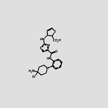 CCC1(N)CCN(c2ccccc2NC(=O)c2csc(NC3C=CSC3C(=O)O)n2)CC1